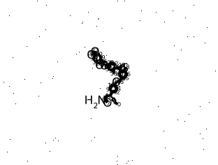 CC#C[C@@H](CC(N)=O)c1ccc(OCc2ccc3scc(-c4ccc(OCC5(O)CCS(=O)(=O)CC5)cc4C)c3c2)cc1